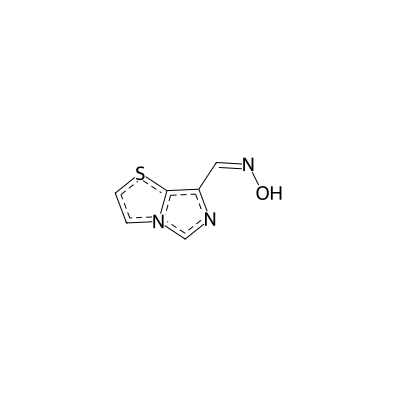 O/N=C\c1ncn2ccsc12